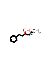 C=C=CC(O)CCc1ccccc1